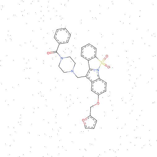 O=C(c1ccccc1)N1CCN(Cc2c3n(c4ccc(OCc5ccco5)cc24)S(=O)(=O)c2ccccc2-3)CC1